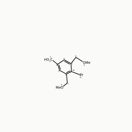 COCc1cc(C(=O)O)cc(COC)c1C(C)C